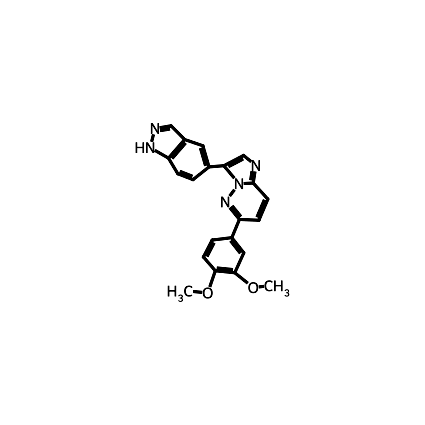 COc1ccc(-c2ccc3ncc(-c4ccc5[nH]ncc5c4)n3n2)cc1OC